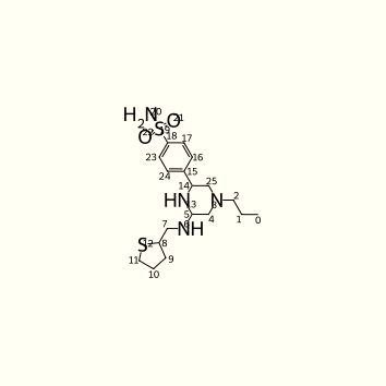 CCCN1CC(NCC2CCCS2)NC(c2ccc(S(N)(=O)=O)cc2)C1